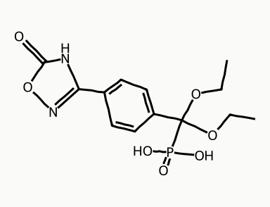 CCOC(OCC)(c1ccc(-c2noc(=O)[nH]2)cc1)P(=O)(O)O